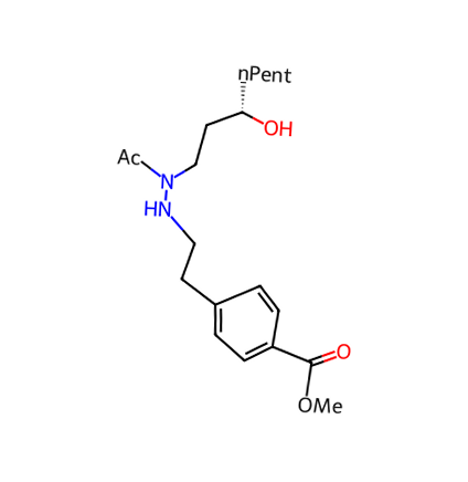 CCCCC[C@H](O)CCN(NCCc1ccc(C(=O)OC)cc1)C(C)=O